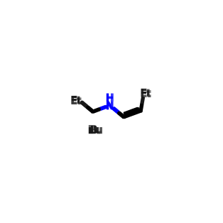 CC/C=C\NC(CC)[C@H](C)CC